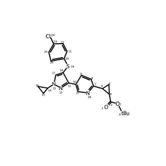 CC(C)(C)OC(=O)C1CC1c1ccc(-c2nn(C3CC3)cc2Sc2ccc(Cl)cc2)cn1